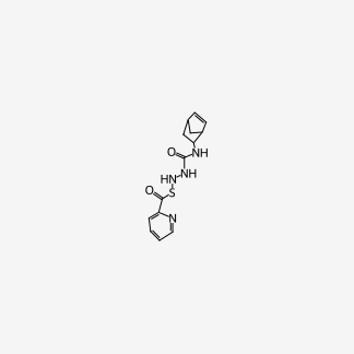 O=C(NNSC(=O)c1ccccn1)NC1CC2C=CC1C2